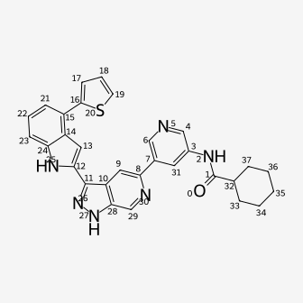 O=C(Nc1cncc(-c2cc3c(-c4cc5c(-c6cccs6)cccc5[nH]4)n[nH]c3cn2)c1)C1CCCCC1